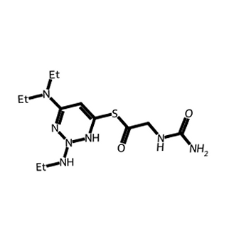 CCNN1N=C(N(CC)CC)C=C(SC(=O)CNC(N)=O)N1